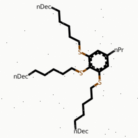 [CH2]CCc1cc(SCCCCCCCCCCCCCCC)c(SCCCCCCCCCCCCCCC)c(SCCCCCCCCCCCCCCC)c1